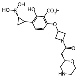 O=C(O)c1c(OC2CN(C(=O)C[C@@H]3CNCCO3)C2)ccc(C2C[C@H]2B(O)O)c1O